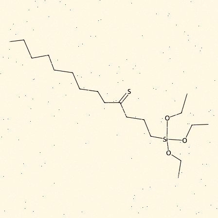 CCCCCCCCCC(=S)CCC[Si](OCC)(OCC)OCC